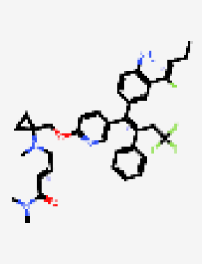 CC/C=C(\F)c1cc(/C(=C(\CC(F)(F)F)c2ccccc2)c2ccc(OCC3(N(C)C/C=C/C(=O)N(C)C)CC3)nc2)ccc1N